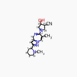 CC1=Cn2nc(C3CCCCN3C)cc2CN=C1N1CC(O)C(C#N)C1